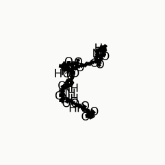 COc1cc2c(cc1OCCCCCOc1cc3c(cc1OC)C(=O)N1C=C(C)C[C@H]1[C@H](O)N3C(=O)OCc1ccc(NC(=O)[C@H](C)NC(=O)[C@@H](NC(=O)CCOCCNC(=O)CCN3C(=O)C=CC3=O)C(C)C)cc1)N=C[C@@H]1CC(C)=CN1C2=O